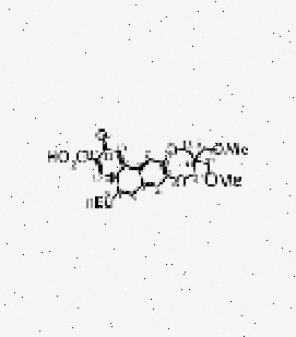 CCCCC1Cc2cc3c(cc2-c2cc(=O)c(C(=O)O)cn21)OCC(COC)(COC)CO3